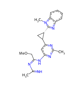 COC/C(=N/C(C)=N)Nc1cc(C2C[C@@H]2c2nc3ccccc3n2C)nc(C)n1